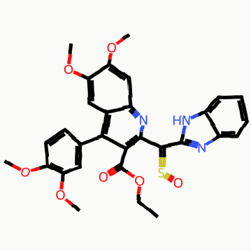 CCOC(=O)c1c(C(=S=O)c2nc3ccccc3[nH]2)nc2cc(OC)c(OC)cc2c1-c1ccc(OC)c(OC)c1